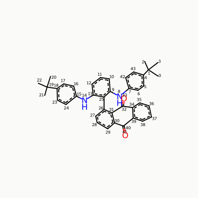 CC(C)(C)c1ccc(Nc2cccc(Nc3ccc(C(C)(C)C)cc3)c2-c2cccc3c2C(=O)c2ccccc2C3=O)cc1